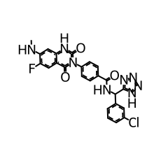 CNc1cc2[nH]c(=O)n(-c3ccc(C(=O)NC(c4cccc(Cl)c4)c4nnn[nH]4)cc3)c(=O)c2cc1F